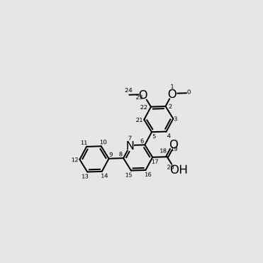 COc1ccc(-c2nc(-c3ccccc3)ccc2C(=O)O)cc1OC